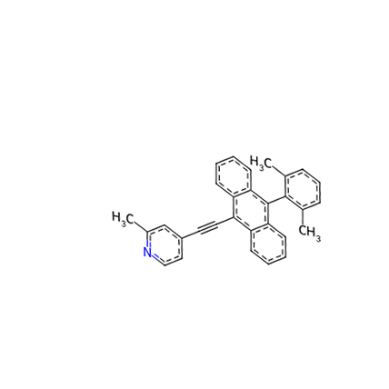 Cc1cc(C#Cc2c3ccccc3c(-c3c(C)cccc3C)c3ccccc23)ccn1